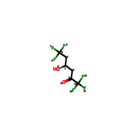 O=C(CC(O)CC(F)(F)F)C(F)(F)F